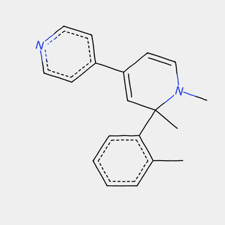 Cc1ccccc1C1(C)C=C(c2ccncc2)C=CN1C